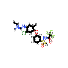 CCN(C)/C=N/c1cc(C)c(Oc2cccc(S(C)(=O)=NC(=O)C(F)(F)F)c2)cc1Cl